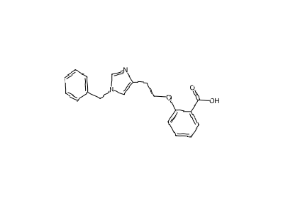 O=C(O)c1ccccc1OCCc1cn(Cc2ccccc2)cn1